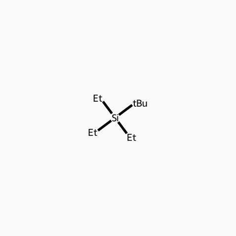 [CH2]C(C)(C)[Si](CC)(CC)CC